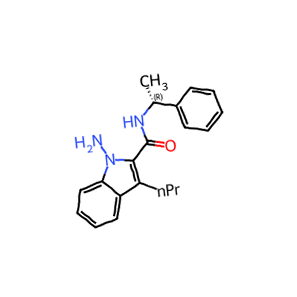 CCCc1c(C(=O)N[C@H](C)c2ccccc2)n(N)c2ccccc12